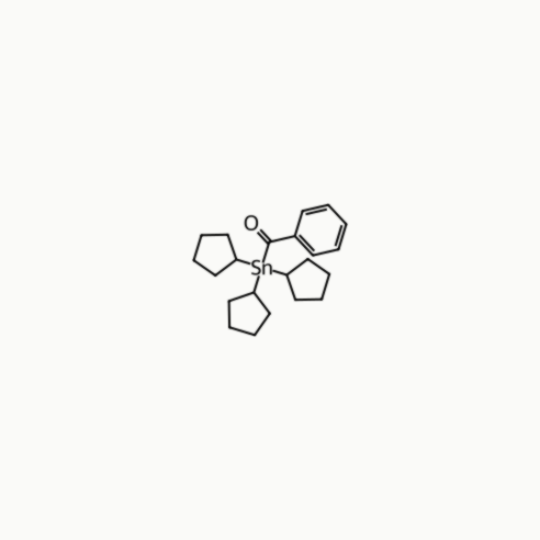 O=[C](c1ccccc1)[Sn]([CH]1CCCC1)([CH]1CCCC1)[CH]1CCCC1